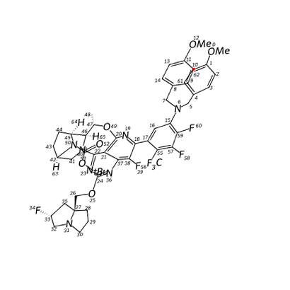 COc1ccc(CN(Cc2ccc(OC)cc2)c2cc(-c3nc4c5c(nc(OC[C@@]67CCCN6C[C@H](F)C7)nc5c3F)N3C[C@H]5CC[C@@H]([C@H]3[C@H](C)O4)N5C(=O)OC(C)(C)C)c(C(F)(F)F)c(F)c2F)cc1